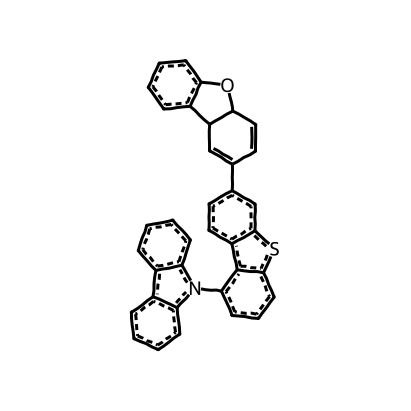 C1=CC2Oc3ccccc3C2C=C1c1ccc2c(c1)sc1cccc(-n3c4ccccc4c4ccccc43)c12